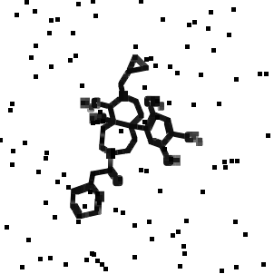 Cc1cc(C(F)(F)F)c(O)cc1C12CCN(C(=O)Cc3ccccn3)CCC1(O)C(C)N(CC1CC1)CC2